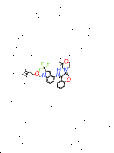 C[C@@H]1CN([C@H]2COc3ccccc3[C@@H]2Nc2cccc3c2cc(C(F)(F)F)n3COCC[Si](C)(C)C)CCO1